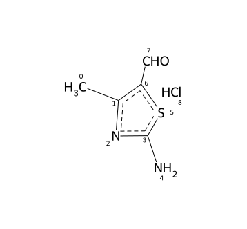 Cc1nc(N)sc1C=O.Cl